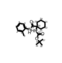 Cc1ccccc1NC(=O)C1(NC(=O)OC(C)(C)C)CCCCC1